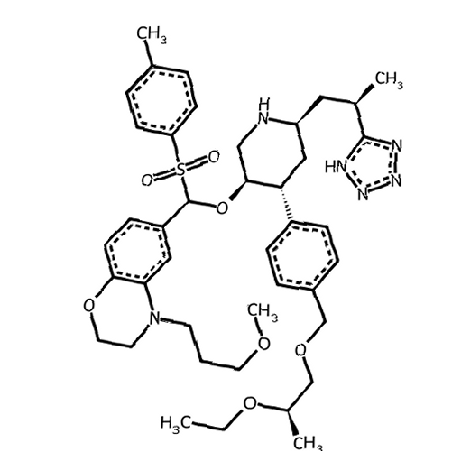 CCO[C@H](C)COCc1ccc([C@H]2C[C@H](C[C@@H](C)c3nnn[nH]3)NC[C@@H]2OC(c2ccc3c(c2)N(CCCOC)CCO3)S(=O)(=O)c2ccc(C)cc2)cc1